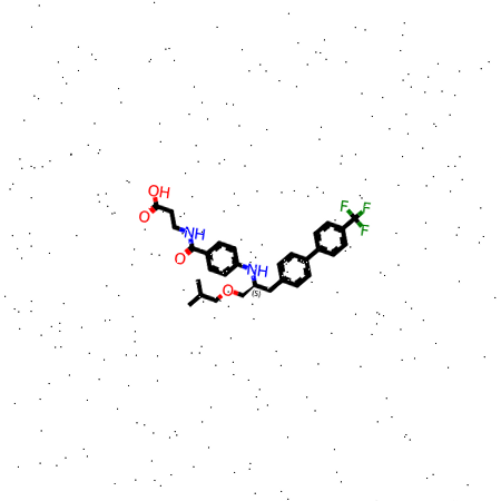 CC(C)COC[C@H](Cc1ccc(-c2ccc(C(F)(F)F)cc2)cc1)Nc1ccc(C(=O)NCCC(=O)O)cc1